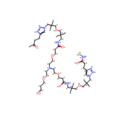 CC(=O)CCc1cn(CC(C)(C)COCC(C)(C)CNC(=O)CCOCCN(CCOCCC=O)CCOCCC(=O)NCC(C)(C)COCC(C)(C)Cn2cc(CCC(=O)NS)nn2)nn1